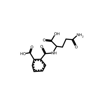 NC(=O)CCC(NC(=O)c1ccccc1C(=O)O)C(=O)O